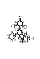 Clc1cc(Cl)c(-c2cc3c(c(N4CCCCC4)c2)O[C@H]2CCNC[C@@H]32)c(Cl)c1